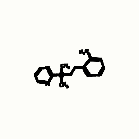 Cc1ccccc1CC[Si](C)(C)c1ccccn1